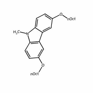 CCCCCCCCOc1ccc2c(c1)c1cc(OCCCCCCCC)ccc1n2C